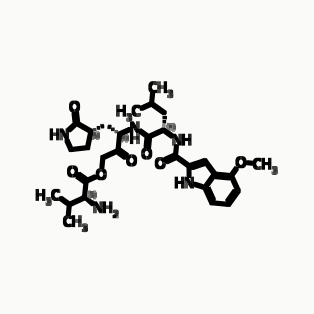 COc1cccc2[nH]c(C(=O)N[C@@H](CC(C)C)C(=O)N[C@@H](C[C@@H]3CCNC3=O)C(=O)COC(=O)[C@@H](N)C(C)C)cc12